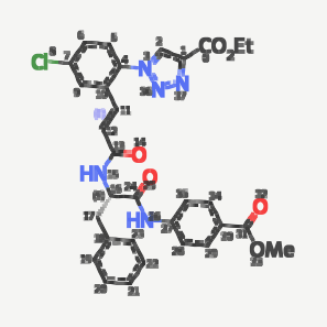 CCOC(=O)c1cn(-c2ccc(Cl)cc2/C=C/C(=O)N[C@@H](Cc2ccccc2)C(=O)Nc2ccc(C(=O)OC)cc2)nn1